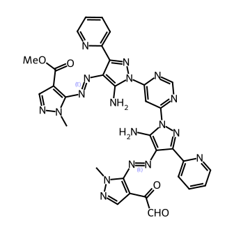 COC(=O)c1cnn(C)c1/N=N/c1c(-c2ccccn2)nn(-c2cc(-n3nc(-c4ccccn4)c(/N=N/c4c(C(=O)C=O)cnn4C)c3N)ncn2)c1N